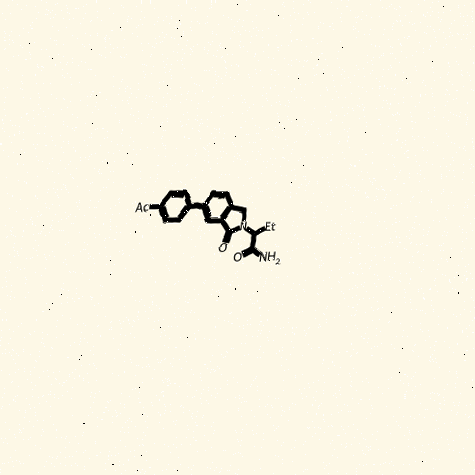 CCC(C(N)=O)N1Cc2ccc(-c3ccc(C(C)=O)cc3)cc2C1=O